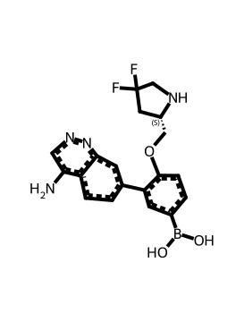 Nc1cnnc2cc(-c3cc(B(O)O)ccc3OC[C@@H]3CC(F)(F)CN3)ccc12